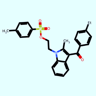 CCc1ccc(C(=O)c2c(C)n(CCOS(=O)(=O)c3ccc(C)cc3)c3ccccc23)cc1